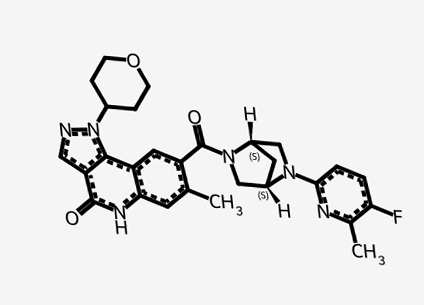 Cc1cc2[nH]c(=O)c3cnn(C4CCOCC4)c3c2cc1C(=O)N1C[C@@H]2C[C@H]1CN2c1ccc(F)c(C)n1